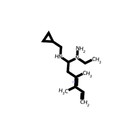 C=C/C(C)=C(\C)CC(NCC1CC1)N(N)CC